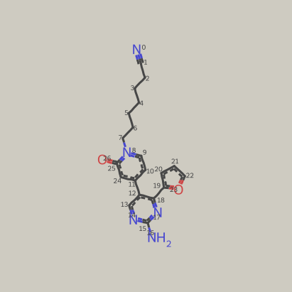 N#CCCCCCCn1ccc(-c2cnc(N)nc2-c2ccco2)cc1=O